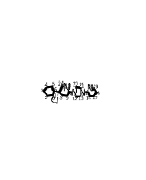 Clc1ccccc1-c1ccc(N2CCN(c3ccccn3)CC2)nc1